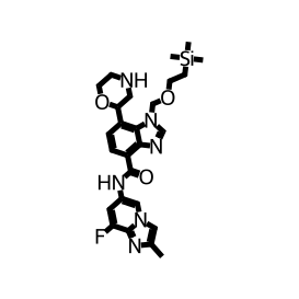 Cc1cn2cc(NC(=O)c3ccc(C4CNCCO4)c4c3ncn4COCC[Si](C)(C)C)cc(F)c2n1